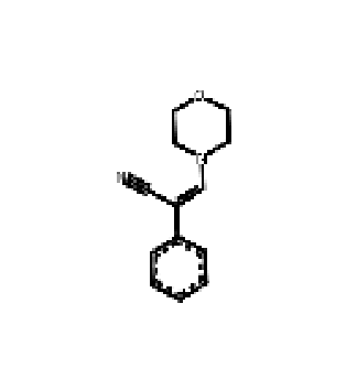 N#CC(=CN1CCOCC1)c1ccccc1